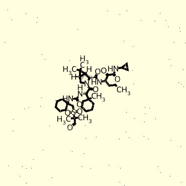 CCCC(NC(=O)[C@@H]1[C@@H]2[C@H](CN1C(=O)[C@@H](NC(=O)NC1(CS(=O)(=O)C(C)(C)C=O)CCCCC1)C1(C)CCCCC1)C2(C)C)C(=O)C(=O)NC1CC1